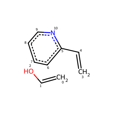 C=CO.C=Cc1ccccn1